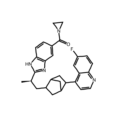 C[C@H](CC1CC2CC1CC2c1ccnc2ccc(F)cc12)c1nc2cc(C(=O)N3CC3)ccc2[nH]1